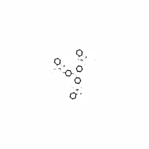 Cn1c(=Nc2ccc(N(c3ccc(N=c4n(C)c5ccccc5n4C)cc3)c3ccc(N=c4n(C)c5ccccc5n4C)cc3)cc2)n(C)c2ccccc21